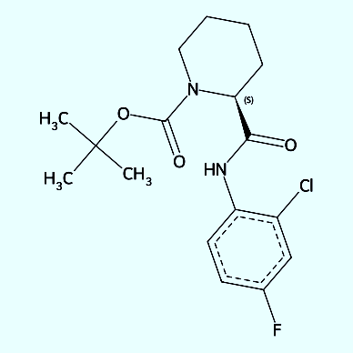 CC(C)(C)OC(=O)N1CCCC[C@H]1C(=O)Nc1ccc(F)cc1Cl